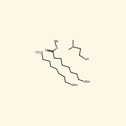 CCCCCCCCCCCCCCCCCC(=O)O.CCCCCCCCCCCCCCCCCC(=O)OC(C)(C)C.CN(C)CCO